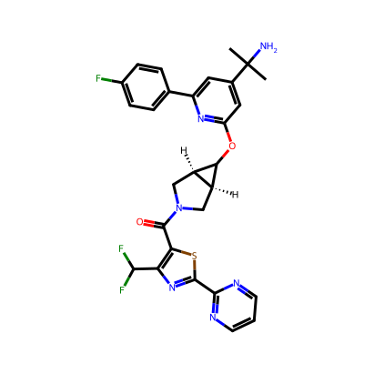 CC(C)(N)c1cc(OC2[C@H]3CN(C(=O)c4sc(-c5ncccn5)nc4C(F)F)C[C@@H]23)nc(-c2ccc(F)cc2)c1